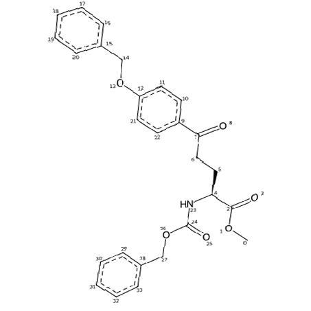 COC(=O)[C@H](CCC(=O)c1ccc(OCc2ccccc2)cc1)NC(=O)OCc1ccccc1